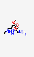 CCNCC(C[Si](OC)(OC)OC)NCCN